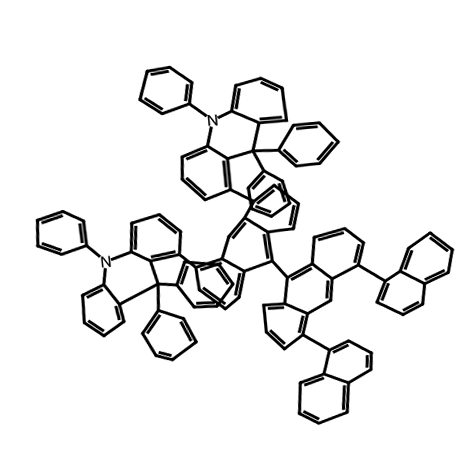 c1ccc(N2c3ccccc3C(c3ccccc3)(c3ccccc3)c3c(-c4cccc5c(-c6c7cccc(-c8cccc9ccccc89)c7cc7c(-c8cccc9ccccc89)cccc67)c6cccc(-c7cccc8c7C(c7ccccc7)(c7ccccc7)c7ccccc7N8c7ccccc7)c6cc45)cccc32)cc1